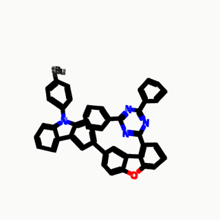 CC(C)(C)c1ccc(-n2c3ccccc3c3cc(-c4ccc5oc6cccc(-c7nc(-c8ccccc8)nc(-c8ccccc8)n7)c6c5c4)ccc32)cc1